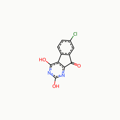 O=C1c2cc(Cl)ccc2-c2c(O)nc(O)nc21